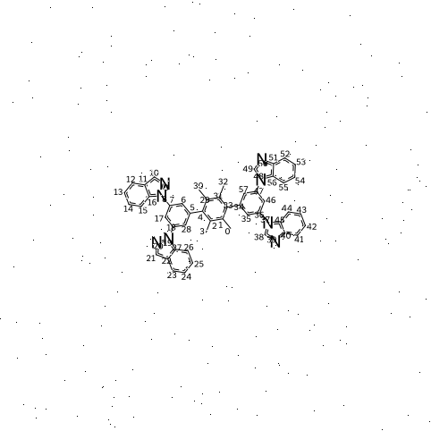 Cc1c(C)c(-c2cc(-n3ncc4ccccc43)cc(-n3ncc4ccccc43)c2)c(C)c(C)c1-c1cc(-n2cnc3ccccc32)cc(-n2cnc3ccccc32)c1